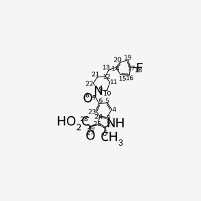 Cc1[nH]c2ccc(C(=O)N3CCC(Cc4ccc(F)cc4)CC3)cc2c1C(=O)C(=O)O